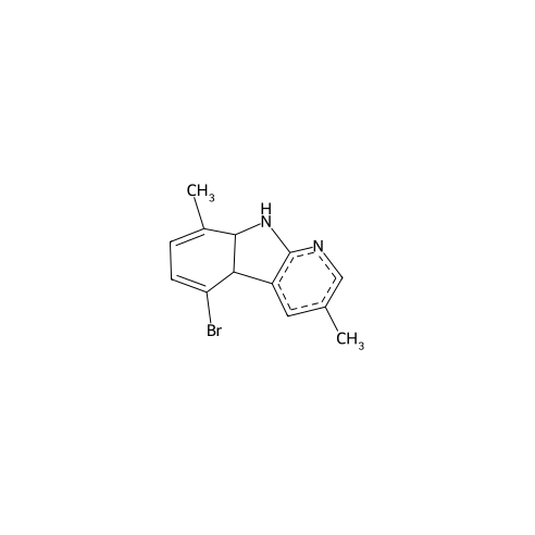 CC1=CC=C(Br)C2c3cc(C)cnc3NC12